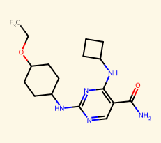 NC(=O)c1cnc(NC2CCC(OCC(F)(F)F)CC2)nc1NC1CCC1